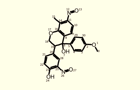 COc1ccc(C2(O)c3ccc(N=O)c(C)c3OCC2c2ccc(O)c(N=O)c2)cc1